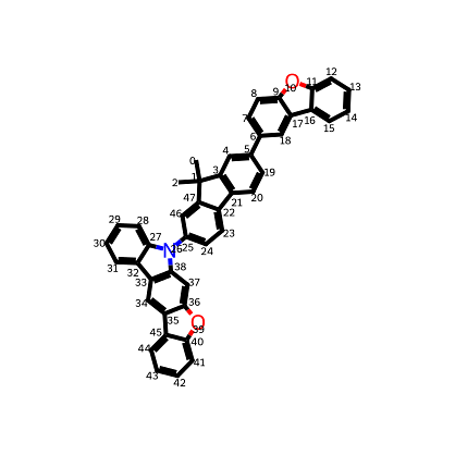 CC1(C)c2cc(-c3ccc4oc5ccccc5c4c3)ccc2-c2ccc(-n3c4ccccc4c4cc5c(cc43)oc3ccccc35)cc21